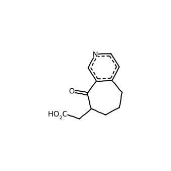 O=C(O)CC1CCCc2ccncc2C1=O